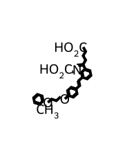 Cc1ccccc1OCCCOc1ccc(/C=C/c2cccc3c(CCCC(=O)O)cn(CC(=O)O)c23)cc1